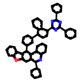 c1ccc(-c2nc(-c3ccccc3)nc(-c3ccc(-c4cccc(-c5c6c(cc7c(-c8ccccc8)nc8ccccc8c57)oc5ccccc56)c4)c4ccccc34)n2)cc1